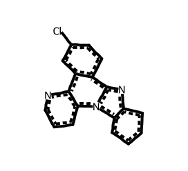 Clc1ccc2c(c1)c1ncccc1n1c3ccccc3nc21